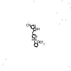 [C-]#[N+]c1cnc2[nH]cc(Cc3ccc(NCc4ccccc4OC(F)(F)F)nc3)c2c1